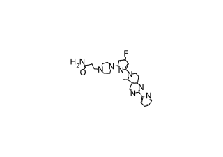 CC1c2cnc(-c3ccccn3)nc2CCN1c1cc(F)cc(N2CCN(CCC(N)=O)CC2)n1